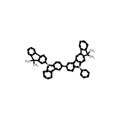 CC1(C)c2ccccc2-c2ccc(-n3c4ccccc4c4cc(-c5ccc6c(c5)c5cc7c(cc5n6-c5ccccc5)C(C)(C)c5ccccc5-7)ccc43)cc21